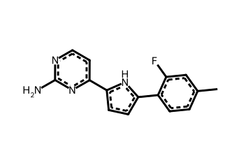 Cc1ccc(-c2ccc(-c3ccnc(N)n3)[nH]2)c(F)c1